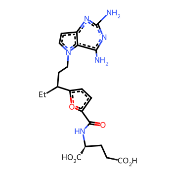 CCC(CCn1ccc2nc(N)nc(N)c21)c1ccc(C(=O)N[C@@H](CCC(=O)O)C(=O)O)o1